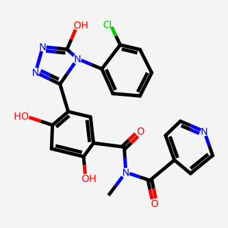 CN(C(=O)c1ccncc1)C(=O)c1cc(-c2nnc(O)n2-c2ccccc2Cl)c(O)cc1O